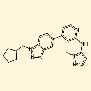 Cn1nccc1Nc1nccc(-c2ccc3c(c2)nnn3CC2CCCC2)n1